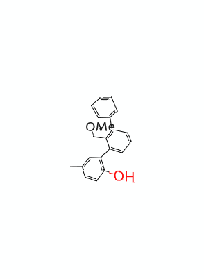 COCc1c(-c2ccccc2)cccc1-c1cc(C)ccc1O